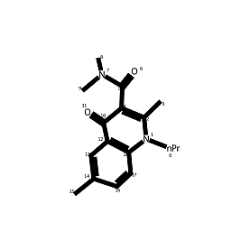 CCCn1c(C)c(C(=O)N(C)C)c(=O)c2cc(C)ccc21